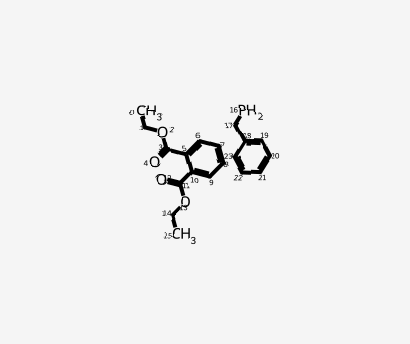 CCOC(=O)c1ccccc1C(=O)OCC.PCc1ccccc1